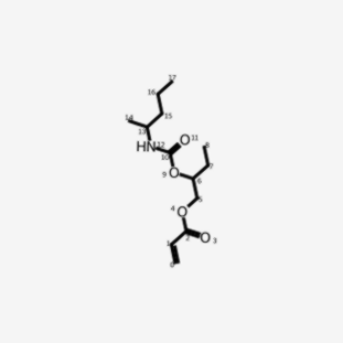 C=CC(=O)OCC(CC)OC(=O)NC(C)CCC